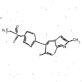 Cc1cn2cc(-c3ccc(S(C)(=O)=O)cc3)c(F)cc2n1